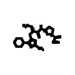 C/C=C(\Sc1cc(C)nn1C1CCCCC1)C(=O)N[C@H]1CC[C@H](C(=O)OC)C1